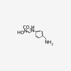 NCc1ccc(N(C=NO)C(=O)O)cc1